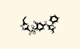 CCc1nnc(NS(=O)(=O)c2ccc(Nc3cc(C)nn3-c3ccccc3)cc2F)s1